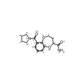 NC(=O)C1CCOc2c(c[c]cc2C(=O)N2CCCC2)O1